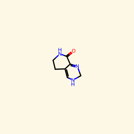 O=C1NCCC2=CNCN=C12